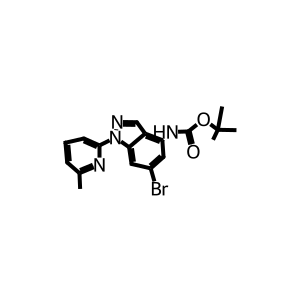 Cc1cccc(-n2ncc3c(NC(=O)OC(C)(C)C)cc(Br)cc32)n1